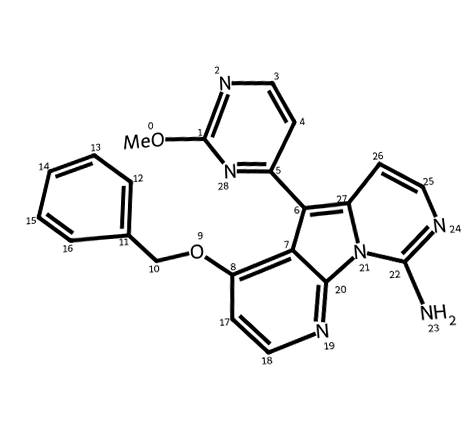 COc1nccc(-c2c3c(OCc4ccccc4)ccnc3n3c(N)nccc23)n1